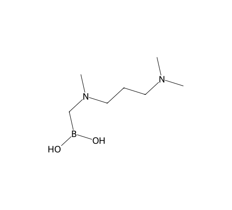 CN(C)CCCN(C)CB(O)O